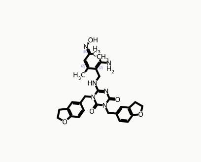 CC(=C/C(C)=N/O)/C(CNc1nc(=O)n(Cc2ccc3c(c2)CCO3)c(=O)n1Cc1ccc2c(c1)CCO2)=C(\C)N